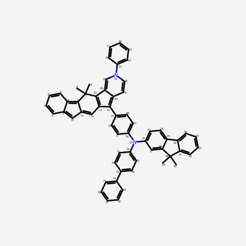 CC1(C)C2=c3ccccc3=CC2=Cc2c(-c3ccc(N(c4ccc(-c5ccccc5)cc4)c4ccc5c(c4)C(C)(C)c4ccccc4-5)cc3)c3ccn(-c4ccccc4)cc-3c21